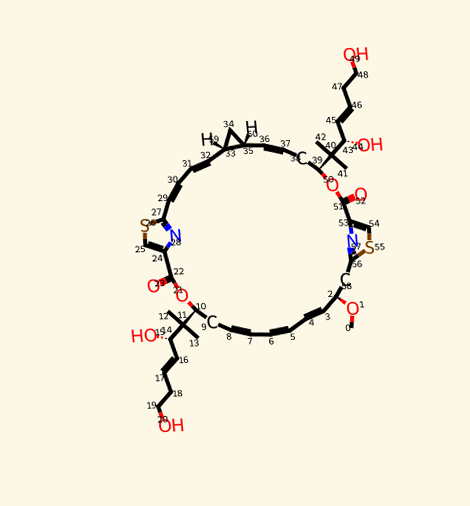 CO[C@H]1/C=C/C=C\C=C/C[C@@H](C(C)(C)[C@@H](O)/C=C/CCO)OC(=O)c2csc(n2)/C=C\C=C\[C@@H]2C[C@@H]2/C=C\C[C@@H](C(C)(C)[C@@H](O)/C=C/CCO)OC(=O)c2csc(n2)C1